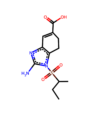 CCC(C)S(=O)(=O)n1c(N)nc2c1CCC(C(=O)O)=C2